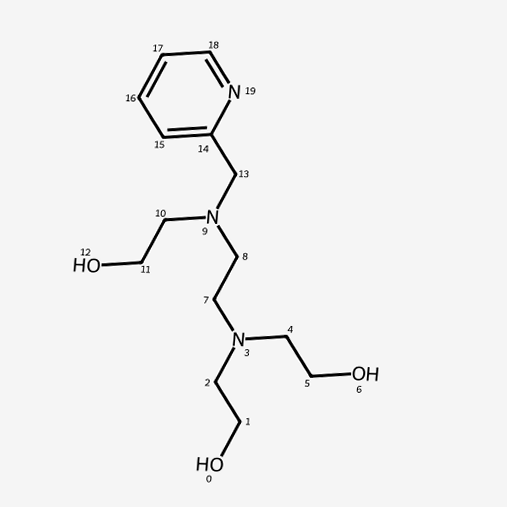 OCCN(CCO)CCN(CCO)Cc1ccccn1